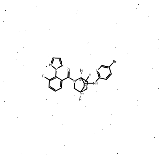 O=C(c1cccc(F)c1-n1nccn1)N1C[C@@H]2CC[C@H]1[C@H](Nc1ccc(Br)cn1)C2